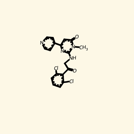 Cn1c(NCC(=O)c2c(Cl)cccc2Cl)nc(-c2ccncc2)cc1=O